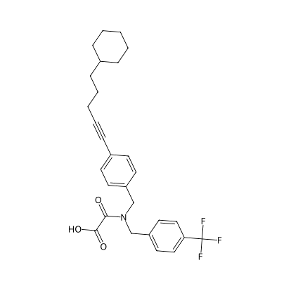 O=C(O)C(=O)N(Cc1ccc(C#CCCCC2CCCCC2)cc1)Cc1ccc(C(F)(F)F)cc1